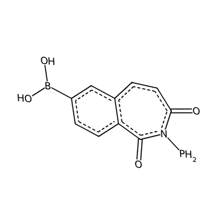 O=c1ccc2cc(B(O)O)ccc2c(=O)n1P